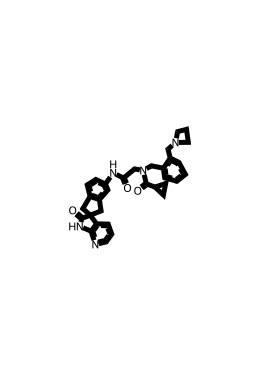 O=C(CN(Cc1ccccc1CN1CCC1)C(=O)C1CC1)Nc1ccc2c(c1)CC1(C2)C(=O)Nc2ncccc21